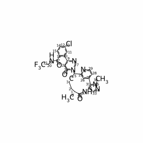 C[C@@H]1CCC[C@H](n2cnc(-c3cc(Cl)ccc3C(=O)NCC(F)(F)F)cc2=O)c2cc(ccn2)-c2c(cnn2C)NC1=O